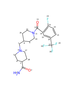 NC(=O)C1CCN(CC2CCN(C(=O)c3cc(C(F)(F)F)ccc3F)CC2)CC1